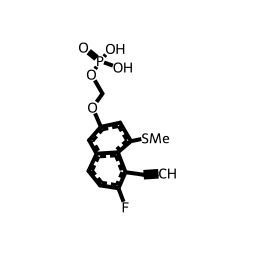 C#Cc1c(F)ccc2cc(OCOP(=O)(O)O)cc(SC)c12